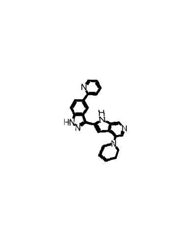 c1ccc(-c2ccc3[nH]nc(-c4cc5c(N6CCCCC6)cncc5[nH]4)c3c2)nc1